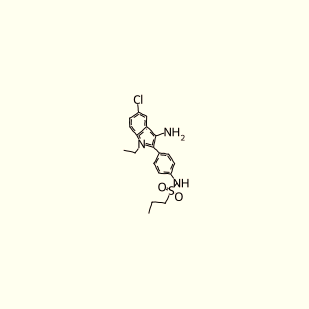 CCCS(=O)(=O)Nc1ccc(-c2c(N)c3cc(Cl)ccc3n2CC)cc1